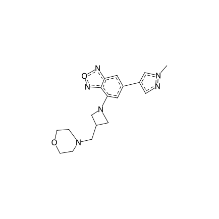 Cn1cc(-c2cc(N3CC(CN4CCOCC4)C3)c3nonc3c2)cn1